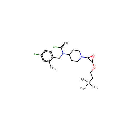 C=C(Cl)N(Cc1ccc(F)cc1C)C1CCN(C2OC2OCC[Si](C)(C)C)CC1